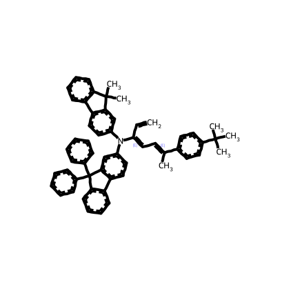 C=C/C(=C\C=C(/C)c1ccc(C(C)(C)C)cc1)N(c1ccc2c(c1)C(C)(C)c1ccccc1-2)c1ccc2c(c1)C(c1ccccc1)(c1ccccc1)c1ccccc1-2